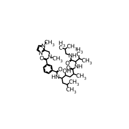 CC(C)CNC(=O)C(NC(=O)C(C)CC(O)C(CC(C)C)NC(=O)c1cccc(C(=O)N(C)Cc2nccn2C)c1)C(C)C